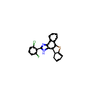 Fc1cccc(Cl)c1-c1nc2c([nH]1)c1c(c3ccccc32)SC2=CC=CCC21